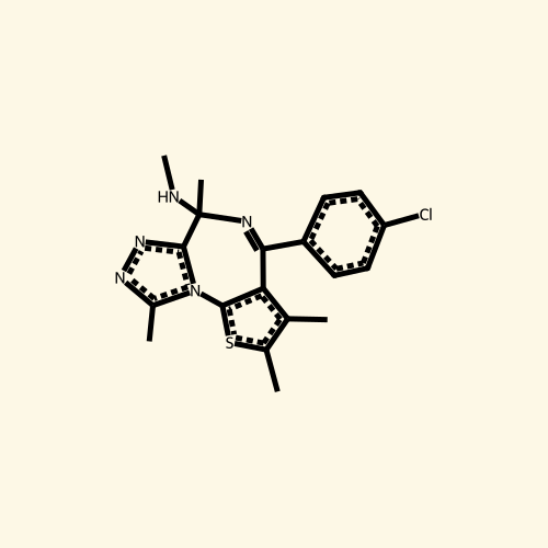 CNC1(C)N=C(c2ccc(Cl)cc2)c2c(sc(C)c2C)-n2c(C)nnc21